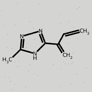 C=CC(=C)c1nnc(C)[nH]1